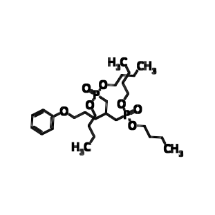 CCCCOP(=O)(CC(CCCOc1ccccc1)CP(=O)(OCCCC)OCCCC)OCCCC